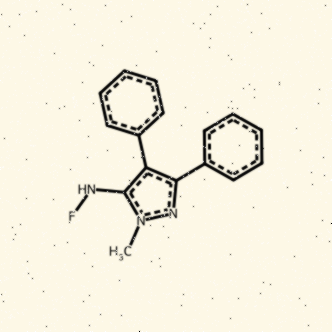 Cn1nc(-c2ccccc2)c(-c2ccccc2)c1NF